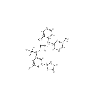 CC(C)(F)[C@H](c1cc(F)cc(-n2cnnc2)c1)C1CN([C@@H](c2cccc(C#N)c2)c2ccccc2Cl)C1